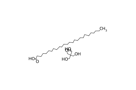 CCCCCCCCCCCCCCCCCCCCCCCCCC(=O)O.OCC(CO)(CO)CO